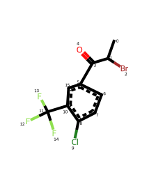 CC(Br)C(=O)c1ccc(Cl)c(C(F)(F)F)c1